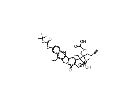 C#CCCC(CN(C)C(=O)O)(N(C)C(=O)O)C1(CC)C(=O)OCc2c1cc1n(c2=O)Cc2c-1nc1ccc(OC(=O)OC(C)(C)C)cc1c2CC